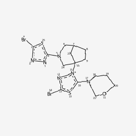 Brc1nnc(N2CC3CCC([n+]4nc(Br)sc4N4CCCOC4)(C3)C2)s1